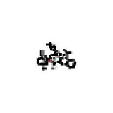 CC(=O)CCCN1[C@@H]2CC[C@H]1C[C@@H](OC(=O)c1cc3ccccc3n(C(C)C)c1=O)C2.Cl